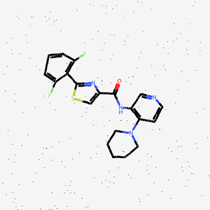 O=C(Nc1cnccc1N1CCCCC1)c1csc(-c2c(F)cccc2F)n1